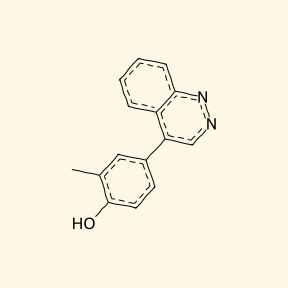 Cc1cc(-c2cnnc3ccccc23)ccc1O